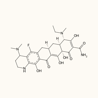 CCN(C)[C@@H]1C(O)=C(C(N)=O)C(=O)[C@@]2(O)C(O)=C3C(=O)c4c(O)c5c(c(F)c4C[C@H]3C[C@@H]12)C(N(C)C)CCN5